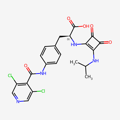 CC(C)Nc1c(N[C@@H](Cc2ccc(NC(=O)c3c(Cl)cncc3Cl)cc2)C(=O)O)c(=O)c1=O